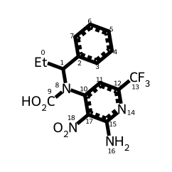 CCC(c1ccccc1)N(C(=O)O)c1cc(C(F)(F)F)nc(N)c1[N+](=O)[O-]